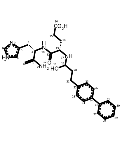 C=C(N)[C@H](Cc1c[nH]cn1)NC(=O)[C@H](CCC(=O)O)NC(O)CCc1ccc(-c2ccccc2)cc1